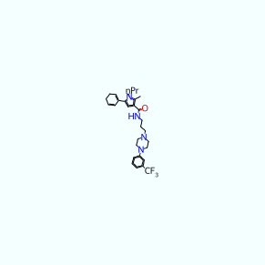 CCCn1c(C2=CCCC=C2)cc(C(=O)NCCCN2CCN(c3cccc(C(F)(F)F)c3)CC2)c1C